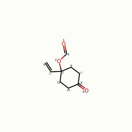 C=CC1(OC=O)CCC(=O)CC1